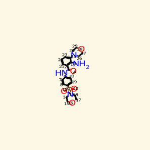 Nc1c(C(=O)Nc2ccc(S(=O)(=O)N3CCOCC3)cc2)cccc1N1CCOCC1